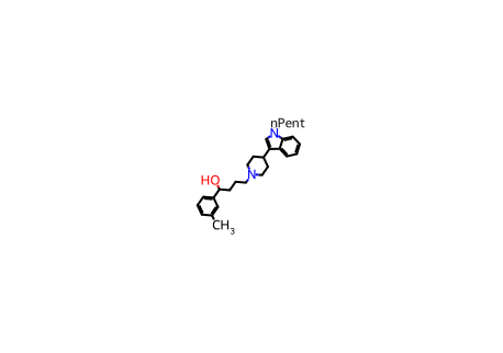 CCCCCn1cc(C2CCN(CCCC(O)c3cccc(C)c3)CC2)c2ccccc21